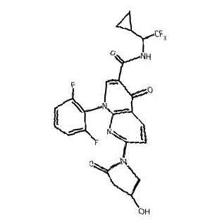 O=C(NC(C1CC1)C(F)(F)F)c1cn(-c2c(F)cccc2F)c2nc(N3CC(O)CC3=O)ccc2c1=O